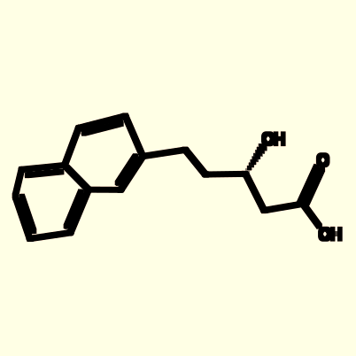 O=C(O)C[C@@H](O)CCc1ccc2ccccc2c1